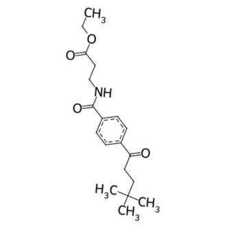 CCOC(=O)CCNC(=O)c1ccc(C(=O)CCC(C)(C)C)cc1